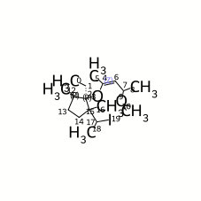 CC[C@@]1(O/C(C)=C\C(C)OC)[C@H](C)CCC1(C)C(C)I